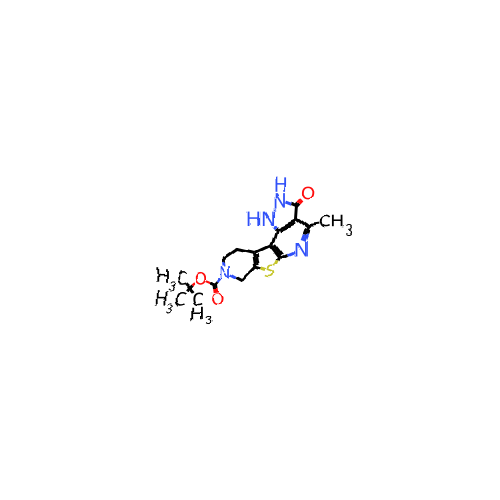 Cc1nc2sc3c(c2c2[nH][nH]c(=O)c12)CCN(C(=O)OC(C)(C)C)C3